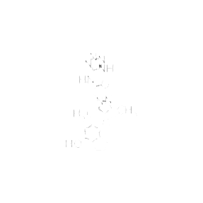 Cc1nn(CC(=O)Nc2nnn[nH]2)c(C)c1Oc1ccc(O)c2c1CCC2